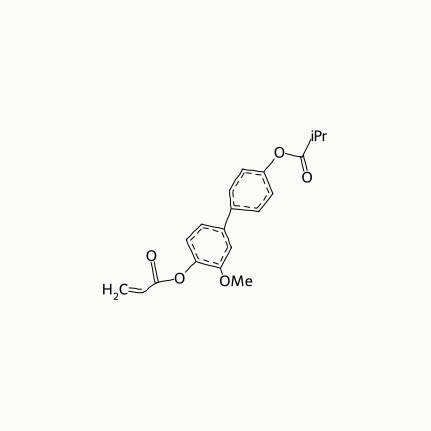 C=CC(=O)Oc1ccc(-c2ccc(OC(=O)C(C)C)cc2)cc1OC